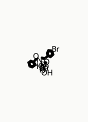 CP(=O)(O)OP(C)(=O)OC(=CNC(=O)c1ccccc1)c1ccc(Br)cc1